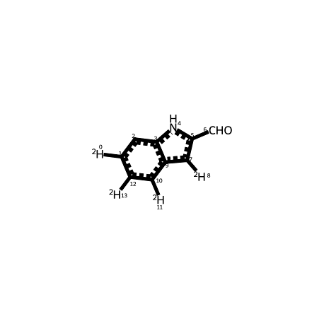 [2H]c1cc2[nH]c(C=O)c([2H])c2c([2H])c1[2H]